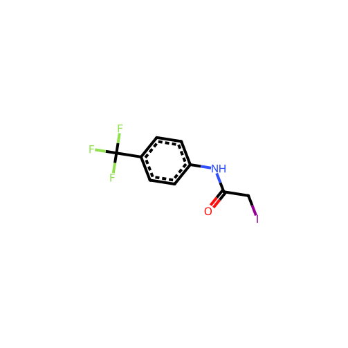 O=C(CI)Nc1ccc(C(F)(F)F)cc1